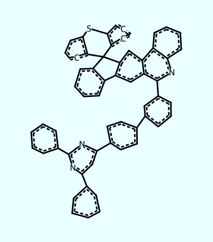 c1ccc(-c2cc(-c3ccc(-c4cccc(-c5nc6ccccc6c6cc7c(cc56)-c5ccccc5C75c6ccccc6Sc6ccccc65)c4)cc3)nc(-c3ccccc3)n2)cc1